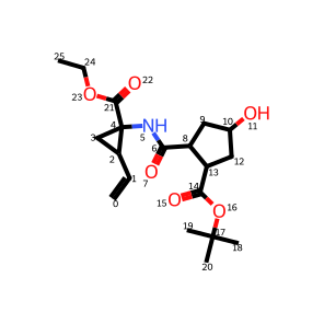 C=CC1CC1(NC(=O)C1CC(O)CC1C(=O)OC(C)(C)C)C(=O)OCC